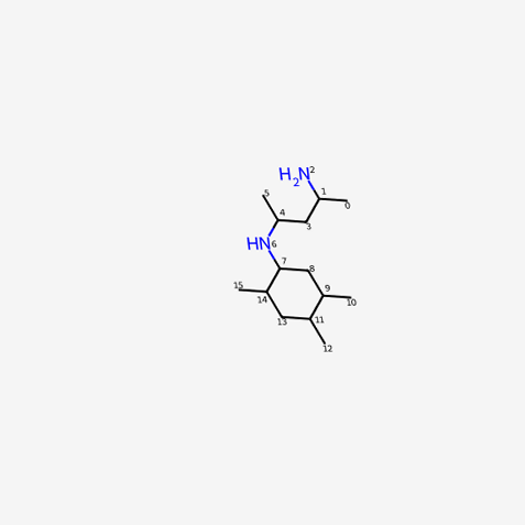 CC(N)CC(C)NC1CC(C)C(C)CC1C